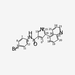 Cc1c(C(=O)Nc2ccc(Br)cc2)cncc1-c1cccc2ncccc12